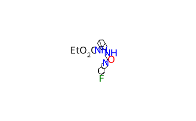 CCOC(=O)NC12CC3CC(CC(NCC(=O)N4Cc5ccc(F)cc5C4)(C3)C1)C2